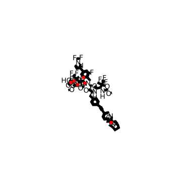 COC(=O)NC(C(=O)N[C@@H](Cc1ccc(C#Cc2ccc(N3CC4CCC(C3)N4C3COC3)nc2)cc1)[C@H](CN(Cc1c(F)cc(-c2ccn(C(F)F)n2)cc1F)NC(=O)[C@@H](NC(=O)OC)C(C)(C)C(F)(F)F)OC(=O)OCOP(=O)(O)O)C(C)(C)C(F)(F)F